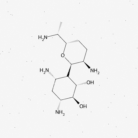 C[C@@H](N)[C@@H]1CC[C@@H](N)[C@@H](C2[C@@H](N)C[C@@H](N)[C@H](O)[C@H]2O)O1